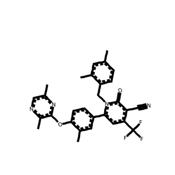 Cc1ccc(Cn2c(-c3ccc(Oc4nc(C)cnc4C)c(C)c3)cc(C(F)(F)F)c(C#N)c2=O)c(C)c1